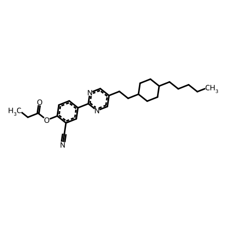 CCCCCC1CCC(CCc2cnc(-c3ccc(OC(=O)CC)c(C#N)c3)nc2)CC1